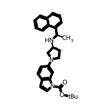 C[C@@H](N[C@H]1CCN(c2ccc3ccn(C(=O)OC(C)(C)C)c3c2)C1)c1cccc2ccccc12